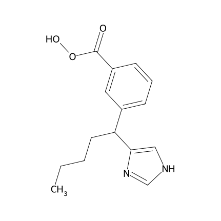 CCCCC(c1cccc(C(=O)OO)c1)c1c[nH]cn1